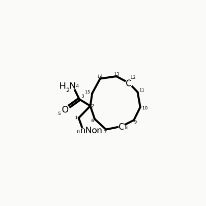 CCCCCCCCCCC1(C(N)=O)CCCCCCCCCC1